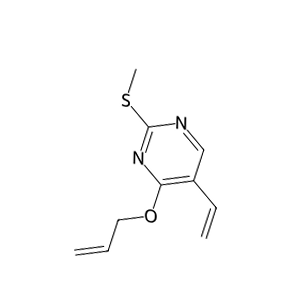 C=CCOc1nc(SC)ncc1C=C